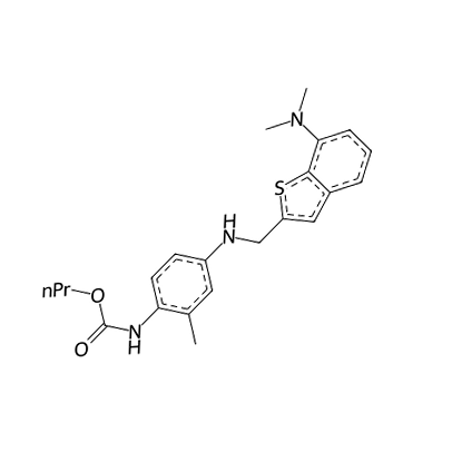 CCCOC(=O)Nc1ccc(NCc2cc3cccc(N(C)C)c3s2)cc1C